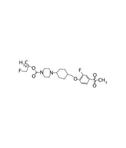 C[C@H](CF)OC(=O)N1CCN(C2CCC(COc3ccc(S(C)(=O)=O)cc3F)CC2)CC1